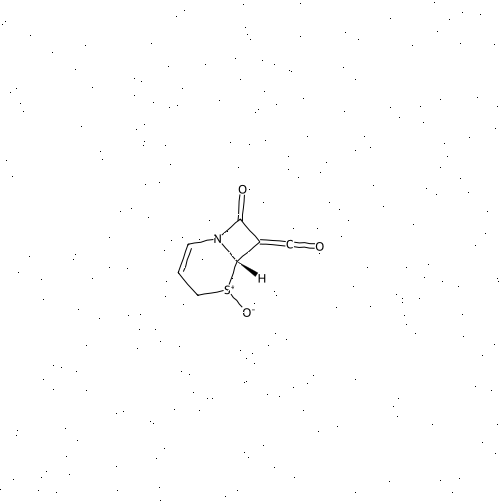 O=C=C1C(=O)N2C=CC[S+]([O-])[C@@H]12